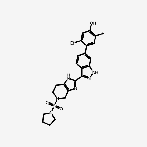 CCc1cc(O)c(F)cc1-c1ccc2c(-c3nc4c([nH]3)CCN(S(=O)(=O)N3CCCC3)C4)n[nH]c2c1